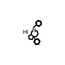 I.c1ccc(CN2CCCC3(c4ccccc4)CCCC3C2)cc1